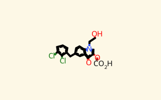 O=C(O)Oc1cn(CCO)c2ccc(Cc3cccc(Cl)c3Cl)cc2c1=O